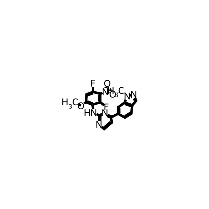 COc1cc(F)c([N+](=O)[O-])c(F)c1Nc1nccc(-c2ccc3cnn(C)c3c2)n1